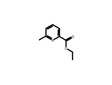 [CH2]c1cccc(C(=O)OCC)n1